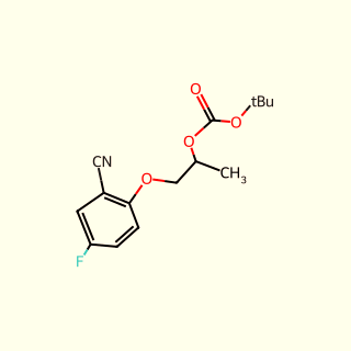 CC(COc1ccc(F)cc1C#N)OC(=O)OC(C)(C)C